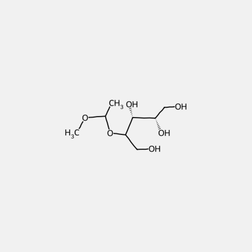 COC(C)OC(CO)[C@H](O)[C@@H](O)CO